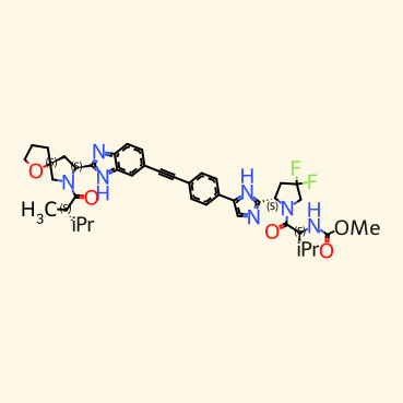 COC(=O)N[C@H](C(=O)N1CC(F)(F)C[C@H]1c1ncc(-c2ccc(C#Cc3ccc4nc([C@@H]5C[C@@]6(CCCO6)CN5C(=O)[C@@H](C)C(C)C)[nH]c4c3)cc2)[nH]1)C(C)C